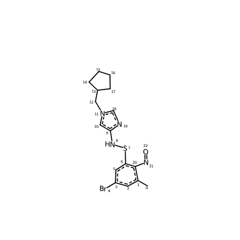 Cc1cc(Br)cc(SNc2cn(CC3CCCC3)cn2)c1N=O